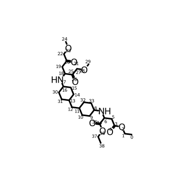 CCOC(=O)CC(NC1CCC(CC2CCC(NC(CC(=O)COC)C(=O)COC)CC2)CC1)C(=O)OCC